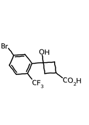 O=C(O)C1CC(O)(c2cc(Br)ccc2C(F)(F)F)C1